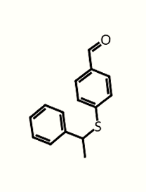 CC(Sc1ccc(C=O)cc1)c1ccccc1